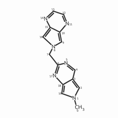 Cn1cc2cnc(Cn3cc4nccnc4c3)nc2c1